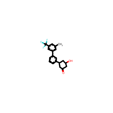 Cc1cc(-c2cccc(C3CC(=O)CC(O)C3)c2)cc(C(F)(F)F)c1